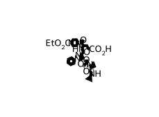 CCOC(=O)N1CCN(C(=O)C(CCC(=O)O)NC(=O)c2cc(O[C@@H](C)C(=O)N3CC[C@H]3C(=O)NC3CC3)n(-c3ccccc3)n2)CC1